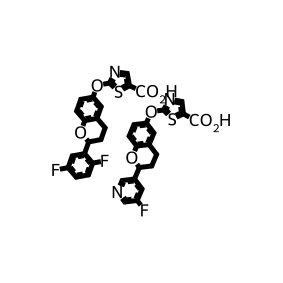 O=C(O)c1cnc(Oc2ccc3c(c2)CCC(c2cc(F)ccc2F)O3)s1.O=C(O)c1cnc(Oc2ccc3c(c2)CCC(c2cncc(F)c2)O3)s1